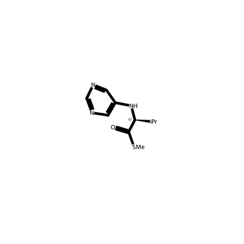 CSC(=O)[C@@H](Nc1cncnc1)C(C)C